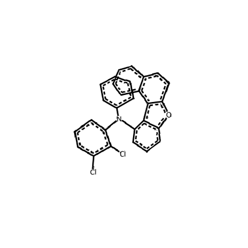 Clc1cccc(N(c2ccccc2)c2cccc3oc4ccc5ccccc5c4c23)c1Cl